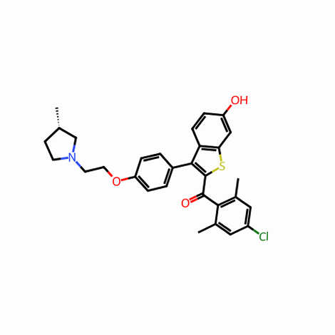 Cc1cc(Cl)cc(C)c1C(=O)c1sc2cc(O)ccc2c1-c1ccc(OCCN2CC[C@H](C)C2)cc1